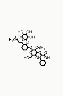 BOC1C(O[C@@H](CC2CCCCC2)C(=O)O)[C@@H](O)C(CO)O[C@H]1OC1CCCC(CCCC)C1O[C@@H]1OC(C)C(O)C(O)C1O